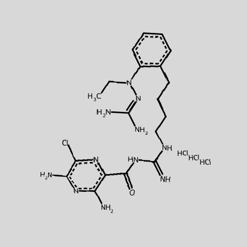 CCN(N=C(N)N)c1ccccc1CCCCNC(=N)NC(=O)c1nc(Cl)c(N)nc1N.Cl.Cl.Cl